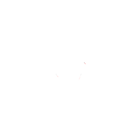 CC(C)C(OC(=O)O)OC(CC(=O)O)C(=O)O